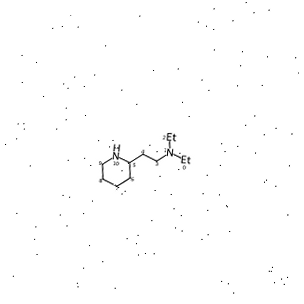 CCN(CC)CCC1CCCCN1